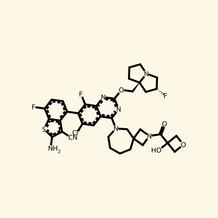 N#Cc1c(N)sc2c(F)ccc(-c3c(Cl)cc4c(N5CCCCC6(CN(C(=O)C7(O)COC7)C6)C5)nc(OC[C@@]56CCCN5C[C@H](F)C6)nc4c3F)c12